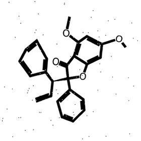 C=C[C@@H](c1ccccc1)C1(c2ccccc2)Oc2cc(OC)cc(OC)c2C1=O